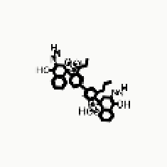 [H]/N=N/C1=C(O)c2ccccc2C(c2ccc(-c3ccc(C4(S(=O)(=O)O)CC(/N=N/[H])=C(O)c5ccccc54)c(CCC)c3)cc2CCC)(S(=O)(=O)O)C1